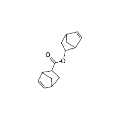 O=C(OC1CC2C=CC1C2)C1CC2C=CC1C2